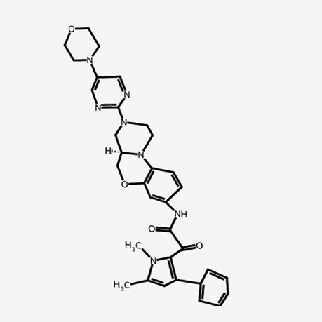 Cc1cc(-c2ccccc2)c(C(=O)C(=O)Nc2ccc3c(c2)OC[C@H]2CN(c4ncc(N5CCOCC5)cn4)CCN32)n1C